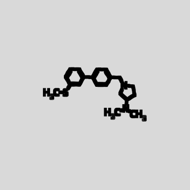 CSc1cccc(-c2ccc(CN3CCC(N(C)C)C3)cc2)c1